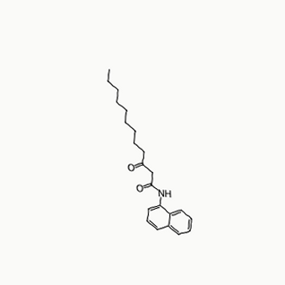 CCCCCCCCCC(=O)CC(=O)Nc1cccc2ccccc12